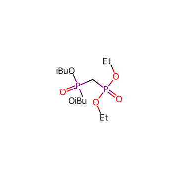 CCOP(=O)(CP(=O)(OCC(C)C)OCC(C)C)OCC